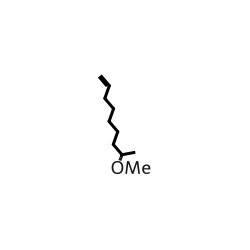 C=CCCCCCC(C)OC